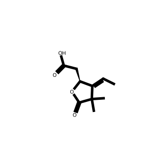 C/C=C1/[C@H](CC(=O)O)OC(=O)C1(C)C